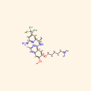 COc1cc2nc(C)nc(N[C@H](C)c3cc(C(F)(F)F)cc(N)n3)c2cc1OCCCCCN(C)C